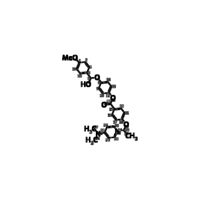 COc1ccc(C(O)Oc2ccc(OC(=O)c3ccc(OC(C)[n+]4ccc(N(C)C)cc4)cc3)cc2)cc1